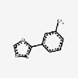 FC(F)(F)c1cccc(-c2nnco2)c1